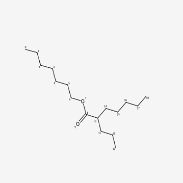 CCCCCCCOC(=O)C(CCC)CCCCC